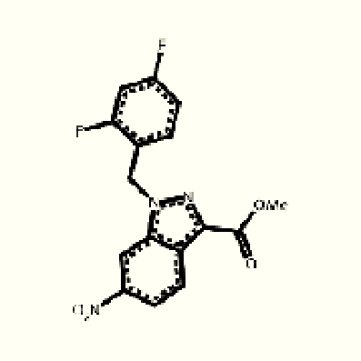 COC(=O)c1nn(Cc2ccc(F)cc2F)c2cc([N+](=O)[O-])ccc12